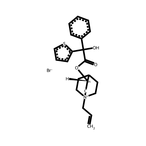 C=CC[N+]12CCC(CC1)[C@@H](OC(=O)C(O)(c1ccccc1)c1cccs1)C2.[Br-]